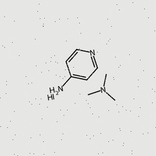 CN(C)C.I.Nc1ccncc1